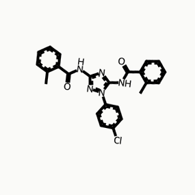 Cc1ccccc1C(=O)Nc1nc(NC(=O)c2ccccc2C)n(-c2ccc(Cl)cc2)n1